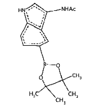 CC(=O)Nc1c[nH]c2ccc(B3OC(C)(C)C(C)(C)O3)cc12